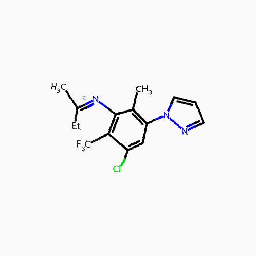 CC/C(C)=N\c1c(C)c(-n2cccn2)cc(Cl)c1C(F)(F)F